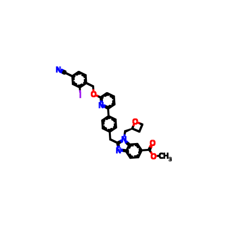 COC(=O)c1ccc2nc(Cc3ccc(-c4cccc(OCc5ccc(C#N)cc5I)n4)cc3)n(C[C@@H]3CCO3)c2c1